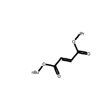 CCCCOC(=O)C=CC(=O)OC(C)C